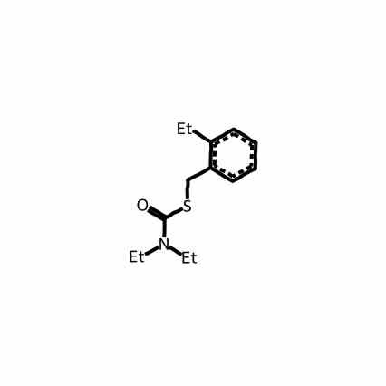 CCc1ccccc1CSC(=O)N(CC)CC